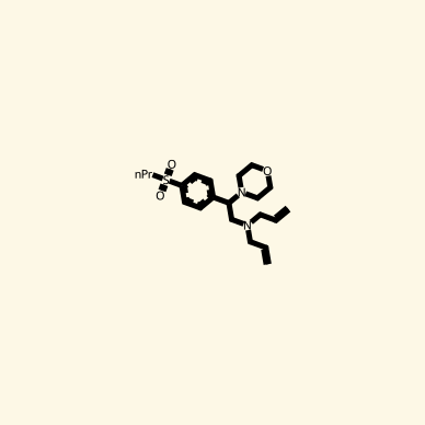 C=CCN(CC=C)CC(c1ccc(S(=O)(=O)CCC)cc1)N1CCOCC1